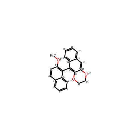 CCOc1ccc2ccccc2c1-c1c2c(cc3ccccc13)OCCO2